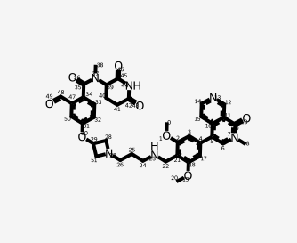 COc1cc(-c2cn(C)c(=O)c3cnccc23)cc(OC)c1CNCCCN1CC(Oc2ccc(C(=O)N(C)C3CCC(=O)NC3=O)c(C=O)c2)C1